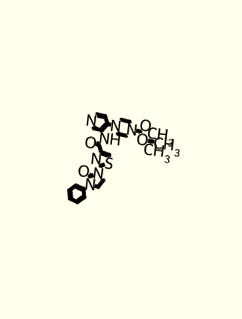 CC(C)(C)OC(=O)N1CCN(c2ccncc2NC(=O)c2csc(N3CCN(c4ccccc4)C3=O)n2)CC1